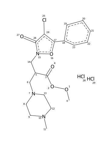 COOC(=O)C(CN1CCN(C)CC1)Cn1oc(-c2ccccc2)c(Cl)c1=O.Cl.Cl